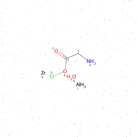 NCC(=O)OCl.O.[AlH3].[Zr]